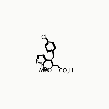 CO[C@H](CC(=O)O)[C@H](Cc1ccc(Cl)cc1)c1ccnn1C(C)C